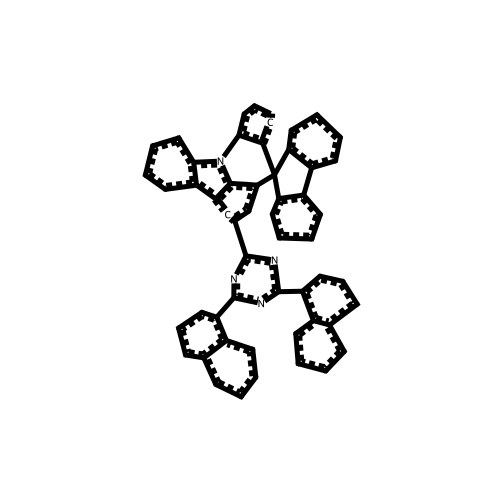 c1ccc2c(c1)-c1ccccc1C21c2ccccc2-n2c3ccccc3c3cc(-c4nc(-c5cccc6ccccc56)nc(-c5cccc6ccccc56)n4)cc1c32